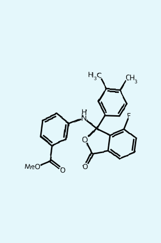 COC(=O)c1cccc(NC2(c3ccc(C)c(C)c3)OC(=O)c3cccc(F)c32)c1